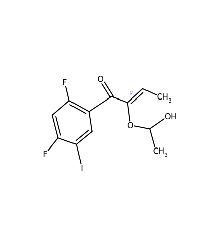 C/C=C(\OC(C)O)C(=O)c1cc(I)c(F)cc1F